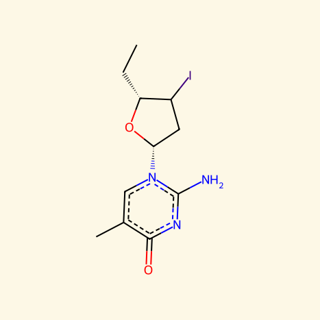 CC[C@H]1O[C@@H](n2cc(C)c(=O)nc2N)CC1I